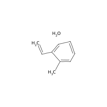 C=Cc1ccccc1C.O